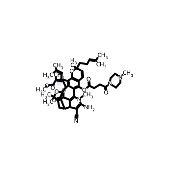 COC(=O)/C(C)=C\CC12OC(C)(C)C3CC(C1=O)C1C(C#N)=C(N)N(C)C4=C1C32Oc1c(CC=C(C)C)c2c(c(OC(=O)CCC(=O)N3CCN(C)CC3)c14)C=CC(C)(CCC=C(C)C)O2